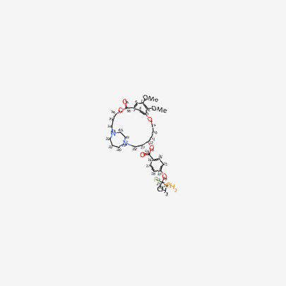 COc1cc2cc(c1OC)OCCCC(OC(=O)c1ccc(OC(C)(F)P)cc1)CCN1CCCN(CCCOC2=O)CC1